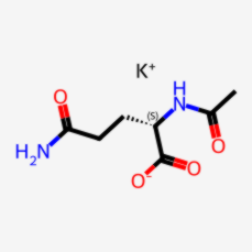 CC(=O)N[C@@H](CCC(N)=O)C(=O)[O-].[K+]